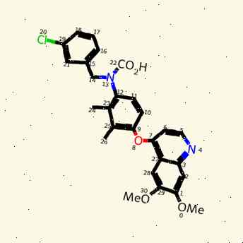 COc1cc2nccc(Oc3ccc(N(Cc4cccc(Cl)c4)C(=O)O)c(C)c3C)c2cc1OC